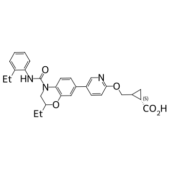 CCc1ccccc1NC(=O)N1CC(CC)Oc2cc(-c3ccc(OCC4C[C@@H]4C(=O)O)nc3)ccc21